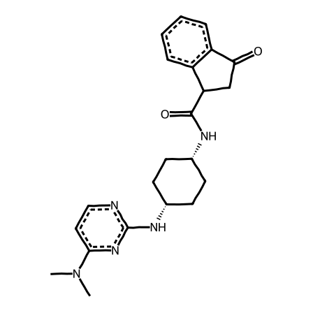 CN(C)c1ccnc(N[C@H]2CC[C@@H](NC(=O)C3CC(=O)c4ccccc43)CC2)n1